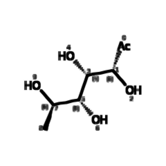 CC(=O)[C@H](O)[C@@H](O)[C@H](O)[C@@H](C)O